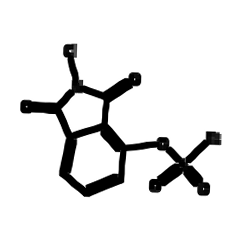 CCS(=O)(=O)Oc1cccc2c1C(=O)N(Cl)C2=O